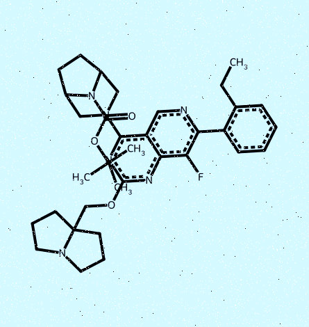 CCc1ccccc1-c1ncc2c(N3CC4CCC(C3)N4C(=O)OC(C)(C)C)nc(OCC34CCCN3CCC4)nc2c1F